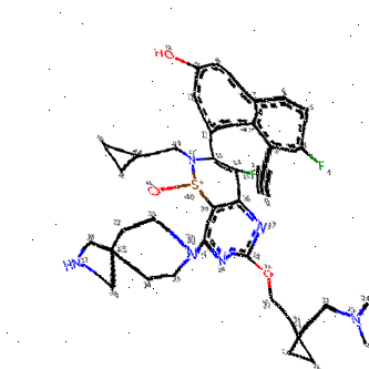 C#Cc1c(F)ccc2cc(O)cc(C3=C(F)c4nc(OCC5(CN(C)C)CC5)nc(N5CCC6(CC5)CNC6)c4[S+]([O-])N3CC3CC3)c12